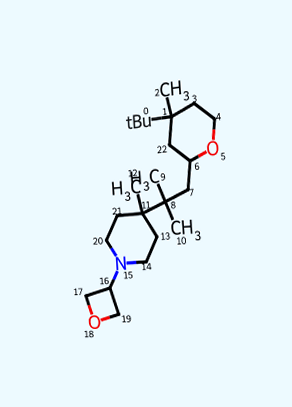 CC(C)(C)C1(C)CCOC(CC(C)(C)C2(C)CCN(C3COC3)CC2)C1